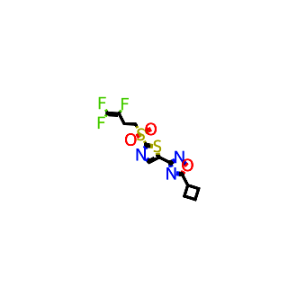 O=S(=O)(CCC(F)=C(F)F)c1ncc(-c2noc(C3CCC3)n2)s1